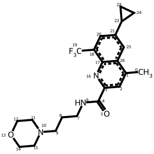 Cc1cc(C(=O)NCCCN2CCOCC2)nc2c(C(F)(F)F)cc(C3CC3)cc12